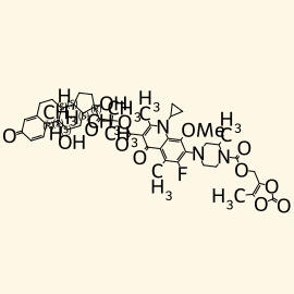 COc1c(N2CCN(C(=O)OCc3oc(=O)oc3C)C(C)C2)c(F)c(C)c2c(=O)c(C(=O)OC(C)(C)C(=O)[C@@]3(O)CC[C@H]4[C@@H]5CCC6=CC(=O)C=C[C@]6(C)[C@H]5[C@@H](O)C[C@@]43C)c(C)n(C3CC3)c12